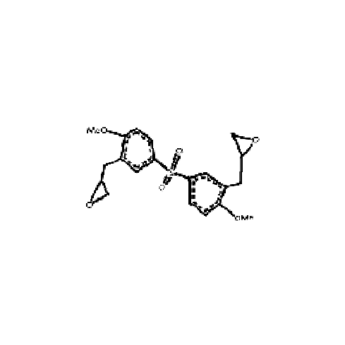 COc1ccc(S(=O)(=O)c2ccc(OC)c(CC3CO3)c2)cc1CC1CO1